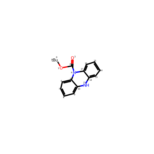 CC(C)(C)OC(=O)N1c2ccccc2Nc2ccccc21